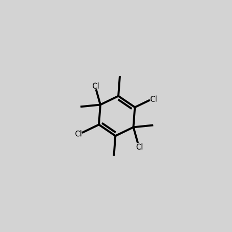 CC1=C(Cl)C(C)(Cl)C(C)=C(Cl)C1(C)Cl